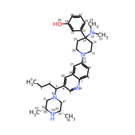 CCCC(c1cnc2ccc(N3CCC(c4cccc(O)c4)(N(C)C)CC3)cc2c1)N1C[C@@H](C)N[C@@H](C)C1